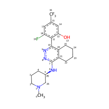 CN1CCC[C@@H](Nc2nnc(-c3c(O)cc(C(F)(F)F)cc3F)c3c2CCCC3)C1